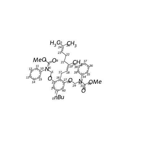 CCCCc1cc(OCN(C(=O)OC)c2ccccc2)c(CC=C(C)CCC=C(C)C)c(OCN(C(=O)OC)c2ccccc2)c1